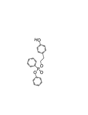 O=P(OCCc1ccc(O)cc1)(Oc1ccccc1)c1ccccc1